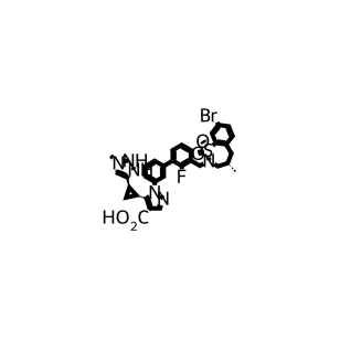 C[C@H]1Cc2ccc(Br)cc2S(=O)(=O)N(Cc2cccc(-c3cccc(-n4ncc(C(=O)O)c4[C@@H]4C[C@H]4C4=CN(C)NN4)c3)c2F)C1